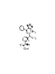 CC(O/N=C(/c1ccccc1)c1nnnn1C)c1cccc(NC(=O)O)n1